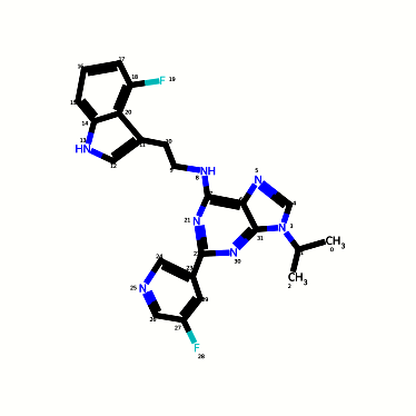 CC(C)n1cnc2c(NCCc3c[nH]c4cccc(F)c34)nc(-c3cncc(F)c3)nc21